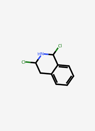 ClC1Cc2ccccc2C(Cl)N1